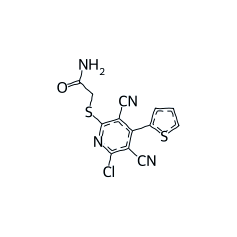 N#Cc1c(Cl)nc(SCC(N)=O)c(C#N)c1-c1cccs1